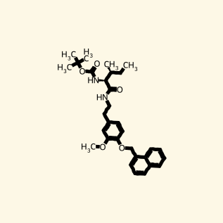 CC[C@H](C)[C@H](NC(=O)OC(C)(C)C)C(=O)NCCc1ccc(OCc2cccc3ccccc23)c(OC)c1